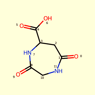 O=C1CC(C(=O)O)NC(=O)CN1